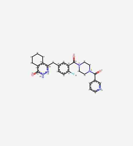 O=C(c1cccnc1)N1CCN(C(=O)c2cc(Cc3n[nH]c(=O)c4c3CCCC4)ccc2F)CC1